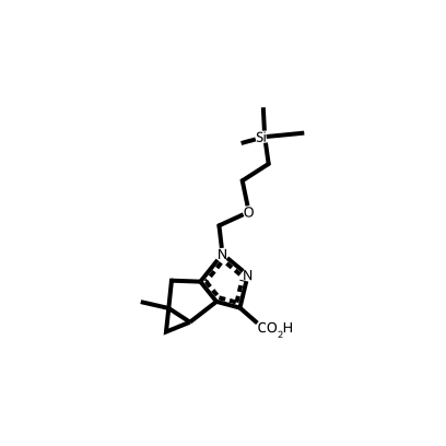 CC12Cc3c(c(C(=O)O)nn3COCC[Si](C)(C)C)C1C2